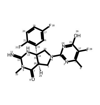 Cc1nc(N2C[C@H]3C(=O)N(C)C(=N)N[C@@]3(c3cc(F)ccc3F)C2)nc(O)c1F